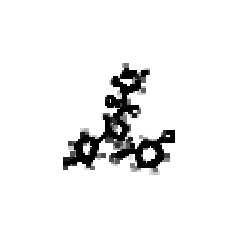 Cn1cnc(S(=O)(=O)N2C[C@H](C(=O)c3cccc(Cl)c3)[C@@H](c3ccc(F)cc3)C2)c1